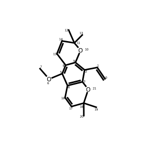 C=Cc1c2c(c(OC)c3c1OC(C)(C)C=C3)C=CC(C)(C)O2